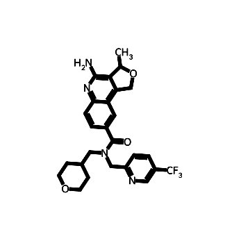 CC1OCc2c1c(N)nc1ccc(C(=O)N(Cc3ccc(C(F)(F)F)cn3)CC3CCOCC3)cc21